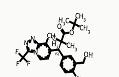 Cc1ccc([C@@H](c2ccn3c(C(F)(F)F)nnc3c2C)C(C)(C)C(=O)OC(C)(C)C)cc1CO